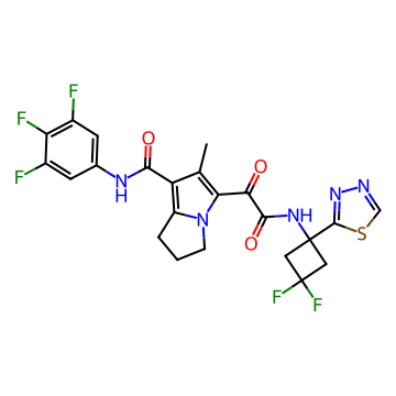 Cc1c(C(=O)Nc2cc(F)c(F)c(F)c2)c2n(c1C(=O)C(=O)NC1(c3nncs3)CC(F)(F)C1)CCC2